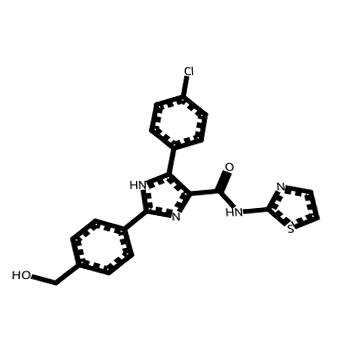 O=C(Nc1nccs1)c1nc(-c2ccc(CO)cc2)[nH]c1-c1ccc(Cl)cc1